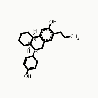 CCCc1cc2c(cc1O)[C@@H]1CCCC[C@@H]1[C@H](C1C=CC(O)=CC1)C2